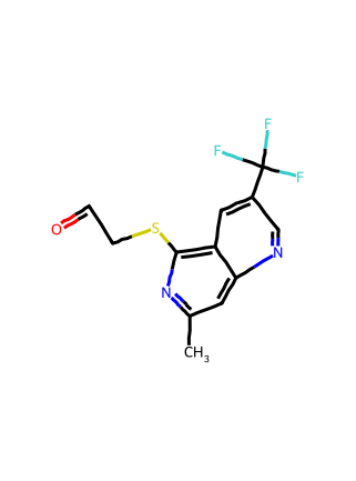 Cc1cc2ncc(C(F)(F)F)cc2c(SCC=O)n1